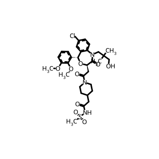 COc1cccc([C@H]2O[C@H](CC(=O)N3CCC(CC(=O)NS(C)(=O)=O)CC3)C(=O)N(CC(C)(C)CO)c3ccc(Cl)cc32)c1OC